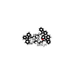 C[C@@H](OC(C)(C)C)[C@H](NC(=O)[C@H](CCC(=O)NC(c1ccccc1)(c1ccccc1)c1ccccc1)NC(=O)OCC1c2ccccc2-c2ccccc21)C(=O)N[C@@H](CCC(=O)NC(c1ccccc1)(c1ccccc1)c1ccccc1)C(=O)O